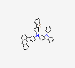 c1ccc(-n2c3ccccc3c3ccc(N(c4ccc5c(c4)-c4cccc6cc7ccccc7c-5c46)c4ccc5c(c4)sc4ccccc45)cc32)cc1